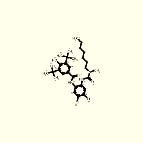 CCCCCCCN(C)C(=O)Nc1cc(Cl)c(Cl)cc1NC(=O)c1cc(C(C)(C)C)c(O)c(C(C)(C)C)c1